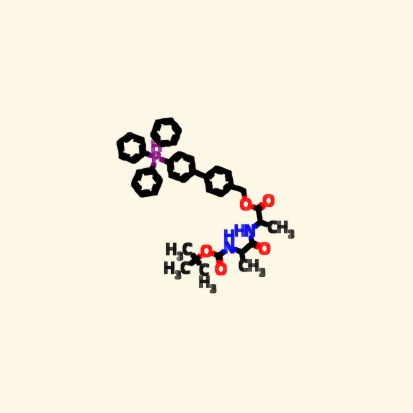 CC(NC(=O)OC(C)(C)C)C(=O)NC(C)C(=O)OCc1ccc(-c2ccc([PH](c3ccccc3)(c3ccccc3)c3ccccc3)cc2)cc1